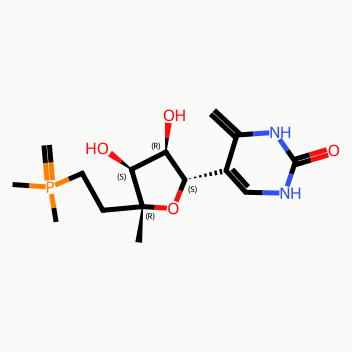 C=C1NC(=O)NC=C1[C@@H]1O[C@](C)(CCP(=C)(C)C)[C@@H](O)[C@H]1O